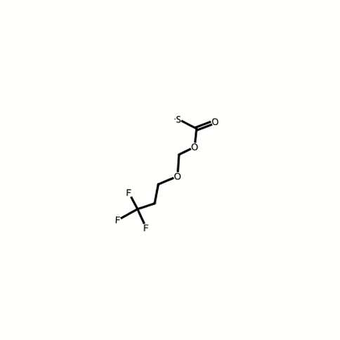 O=C([S])OCOCCC(F)(F)F